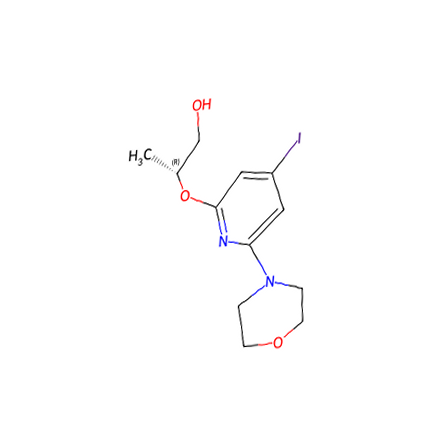 C[C@H](CO)Oc1cc(I)cc(N2CCOCC2)n1